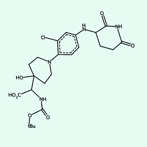 CC(C)(C)OC(=O)NC(C(=O)O)C1(O)CCN(c2ccc(NC3CCC(=O)NC3=O)cc2Cl)CC1